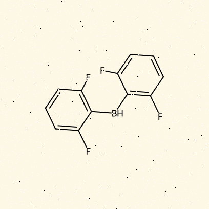 Fc1cccc(F)c1Bc1c(F)cccc1F